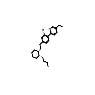 CCCC[C@@H]1CCCC[C@H]1CCc1ccc(-c2ccc(CC)cn2)c(F)c1